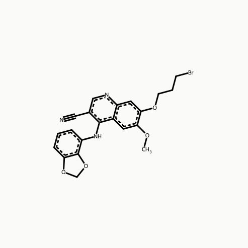 COc1cc2c(Nc3cccc4c3OCO4)c(C#N)cnc2cc1OCCCBr